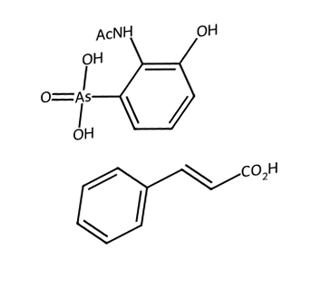 CC(=O)Nc1c(O)cccc1[As](=O)(O)O.O=C(O)C=Cc1ccccc1